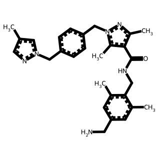 Cc1cnn(Cc2ccc(Cn3nc(C)c(C(=O)NCc4c(C)cc(CN)cc4C)c3C)cc2)c1